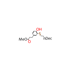 CCCCCCCCCCCCSc1cc(CCC(=O)OC)ccc1O